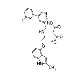 Cc1cc2c(OCCNCc3cncc(-c4cccc(F)c4)c3)cccc2[nH]1.O=C(O)CC(=O)O